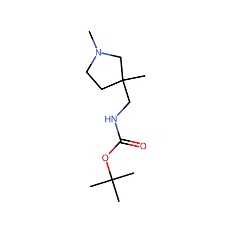 CN1CCC(C)(CNC(=O)OC(C)(C)C)C1